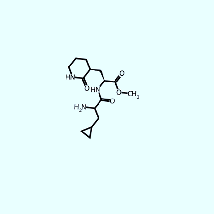 COC(=O)[C@H](C[C@@H]1CCCNC1=O)NC(=O)C(N)CC1CC1